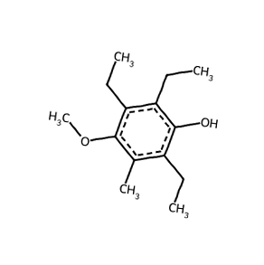 CCc1c(C)c(OC)c(CC)c(CC)c1O